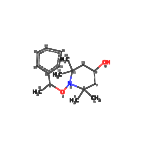 CC(ON1C(C)(C)CC(O)CC1(C)C)c1ccccc1